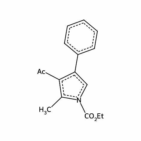 CCOC(=O)n1cc(-c2ccccc2)c(C(C)=O)c1C